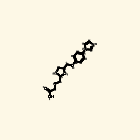 O=C(O)CSCC1OC(COc2ccc(-n3ccnc3)cc2)CS1